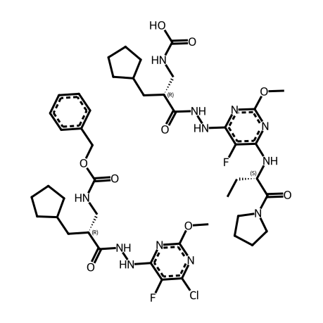 CC[C@H](Nc1nc(OC)nc(NNC(=O)[C@@H](CNC(=O)O)CC2CCCC2)c1F)C(=O)N1CCCC1.COc1nc(Cl)c(F)c(NNC(=O)[C@@H](CNC(=O)OCc2ccccc2)CC2CCCC2)n1